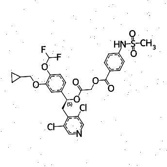 CS(=O)(=O)Nc1ccc(C(=O)OCC(=O)O[C@@H](Cc2c(Cl)cncc2Cl)c2ccc(OC(F)F)c(OCC3CC3)c2)cc1